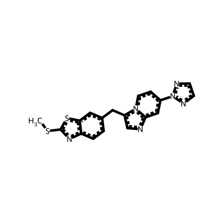 CSc1nc2ccc(Cc3cnc4cc(-n5nccn5)ccn34)cc2s1